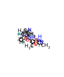 Cc1cc(Oc2ccc(C(=O)NC(C)C(=O)N3[C@H](c4cccc(F)c4)[C@@H](F)C[C@@H]3C(C)(C)C#N)cc2C)c(=O)[nH]n1